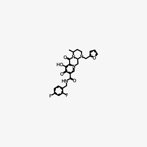 CC1CCN(Cc2ccco2)C2Cn3cc(C(=O)NCc4ccc(F)cc4F)c(=O)c(O)c3C(=O)N12